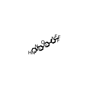 O=c1cc(-c2ccc(C(F)(F)F)nc2)ccn1-c1ccn2c3c(nc2c1)CCNC3